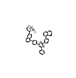 C=C(/C=C\C)c1ccc2c(-c3ccc(-c4cc(-c5ccccc5)nc(-c5cccc(-c6cccc7ccc#cc67)c5)n4)cc3)cccc2c1